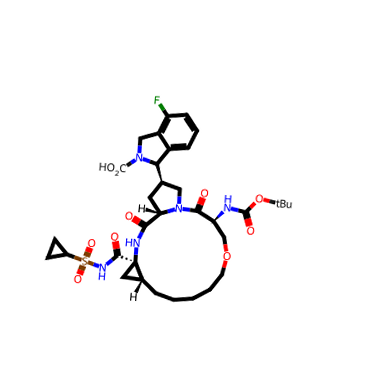 CC(C)(C)OC(=O)N[C@H]1COCCCCC[C@@H]2C[C@@]2(C(=O)NS(=O)(=O)C2CC2)NC(=O)[C@@H]2C[C@@H](C3c4cccc(F)c4CN3C(=O)O)CN2C1=O